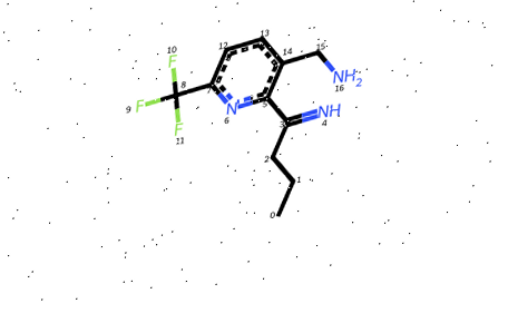 CCCC(=N)c1nc(C(F)(F)F)ccc1CN